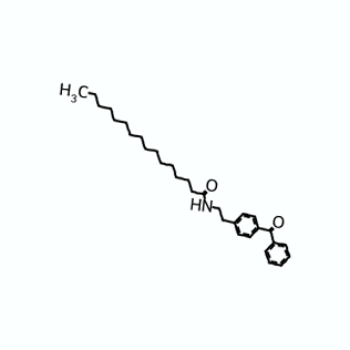 CCCCCCCCCCCCCCCC(=O)NCCc1ccc(C(=O)c2ccccc2)cc1